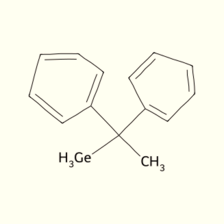 C[C]([GeH3])(c1ccccc1)c1ccccc1